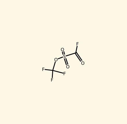 O=C(F)S(=O)(=O)OC(F)(F)F